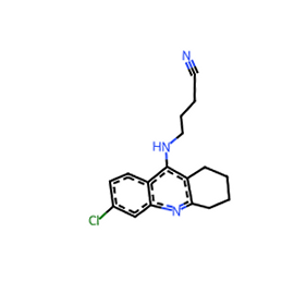 N#CCCCNc1c2c(nc3cc(Cl)ccc13)CCCC2